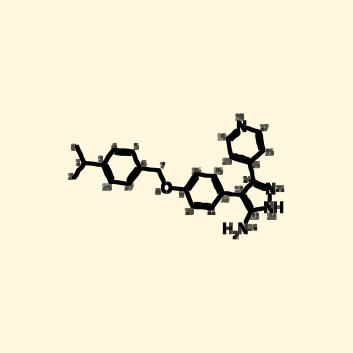 CC(C)c1ccc(COc2ccc(-c3c(-c4ccncc4)n[nH]c3N)cc2)cc1